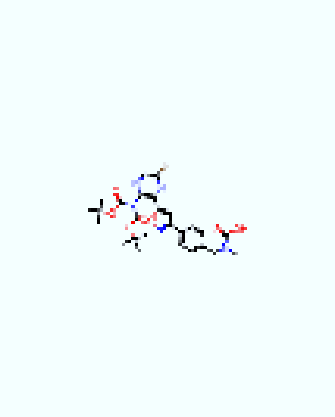 CN(Cc1ccc(-c2cc(-c3nc(Br)cnc3N(C(=O)OC(C)(C)C)C(=O)OC(C)(C)C)on2)cc1)C(=O)O